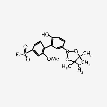 CCS(=O)(=O)c1ccc(-c2cc(B3OC(C)(C)C(C)(C)O3)ccc2O)c(OC)c1